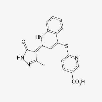 CC1=NNC(=O)/C1=C1/C=C(Sc2ccc(C(=O)O)cn2)c2ccccc2N1